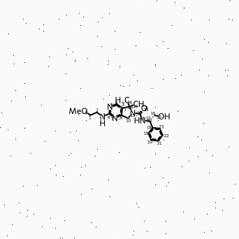 COCCNc1ncc2c(n1)CN(C(=O)N[C@H](CO)c1ccccc1)C2(C)C